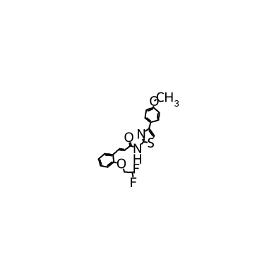 COc1ccc(-c2csc(NC(=O)C=Cc3ccccc3OCC(F)F)n2)cc1